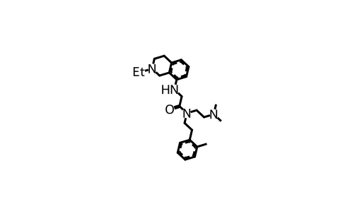 CCN1CCc2cccc(NCC(=O)N(CCc3ccccc3C)CCN(C)C)c2C1